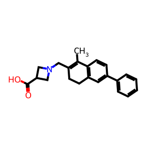 CC1=C(CN2CC(C(=O)O)C2)CCc2cc(-c3ccccc3)ccc21